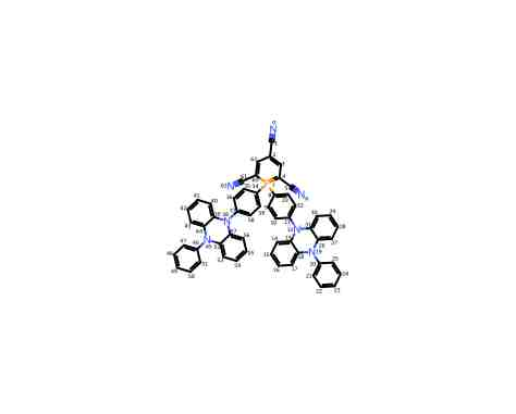 N#CC1=CC(C#N)=P(c2ccc(N3c4ccccc4N(c4ccccc4)c4ccccc43)cc2)(c2ccc(N3c4ccccc4N(c4ccccc4)c4ccccc43)cc2)C(C#N)=C1